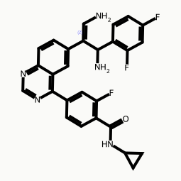 N/C=C(/c1ccc2ncnc(-c3ccc(C(=O)NC4CC4)c(F)c3)c2c1)C(N)c1ccc(F)cc1F